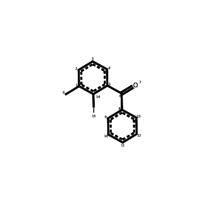 Cc1cccc(C(=O)c2ccccc2)c1I